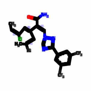 C\C=C(Cl)/C=C(\C=C(/C)CC)C(=C\n1cnc(-c2cc(C(F)(F)F)cc(C(F)(F)F)c2)n1)/C(N)=O